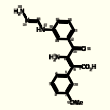 COc1cccc(C(C(=O)O)=C(N)C(=O)c2cccc(NC=NN)c2)c1